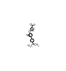 CC(C)c1ccc(-c2ccc(On3cc(C(=O)[O-])nn3)cc2)cc1.[Na+]